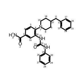 NC(=O)c1ccc(N2CCC(Cc3ccccc3)CC2)c(NC(=O)Nc2ccccc2)c1